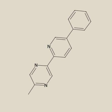 Cc1cnc(-c2ccc(-c3ccccc3)cn2)cn1